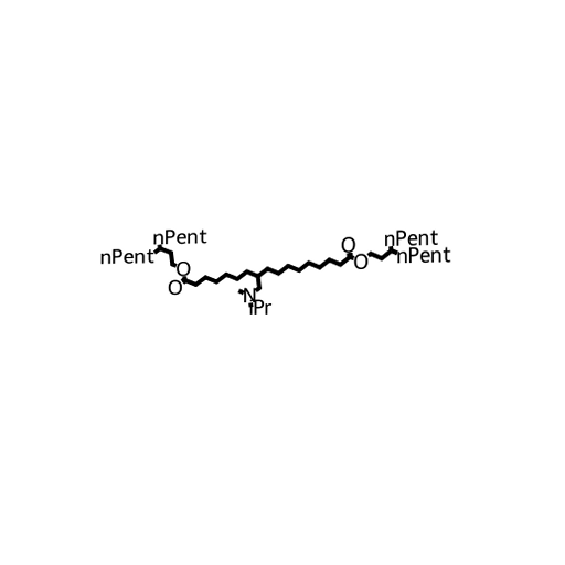 CCCCCC(CCCCC)CCOC(=O)CCCCCCCCC(CCCCCCC(=O)OCCC(CCCCC)CCCCC)CN(C)C(C)C